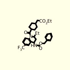 CCOC(=O)CC1CCC(C(=O)N2c3ccc(C(F)(F)F)cc3C(NC(=O)OCc3ccccc3)CC2CC)CC1